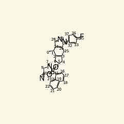 C[C@@H]1C2=C(CC[C@@H]2CN(CC#N)S(=O)(=O)c2cccc3ccccc23)Cc2c1cnn2-c1ccc(F)cc1